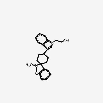 CN(C)C1(c2ccccc2)CCC(c2cn(CCO)c3ccccc23)CC1